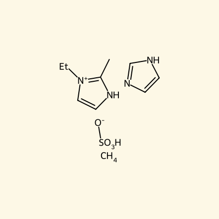 C.CC[n+]1cc[nH]c1C.O=S(=O)([O-])O.c1c[nH]cn1